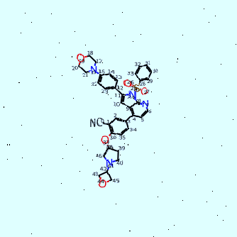 N#Cc1cc(-c2ccnc3c2cc(-c2ccc(N4CCOCC4)cc2)n3S(=O)(=O)c2ccccc2)ccc1O[C@@H]1CCN(C2COC2)C1